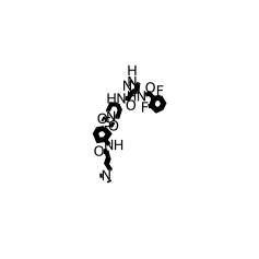 CN(C)CC=CC(=O)Nc1cccc(S(=O)(=O)N2CCC(NC(=O)c3n[nH]cc3NC(=O)c3c(F)cccc3F)CC2)c1